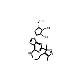 CCCC1=C(C)N=NC1(C)c1nc(NC)c2ncn([C@@H]3O[C@H](CO)[C@@H](O)[C@H]3O)c2n1